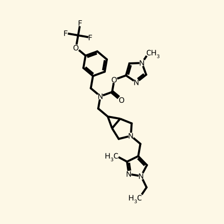 CCn1cc(CN2CC3C(C2)C3CN(Cc2cccc(OC(F)(F)F)c2)C(=O)Oc2cn(C)cn2)c(C)n1